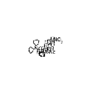 CC(=O)Oc1ccccc1C(=O)O.NC(=O)N(C1CCCCC1)C1CCCCC1.O=[N+]([O-])O[C@@H]1CO[C@H]2[C@@H]1OC[C@@H]2O